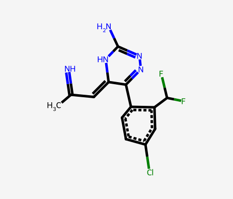 CC(=N)/C=C1\NC(N)=NN=C1c1ccc(Cl)cc1C(F)F